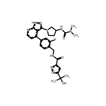 CN(C)C(=O)NC1CCN(c2n[nH]c3nccc(-c4ccc(CNC(=O)c5cc(C(C)(C)O)on5)c(F)c4)c23)C1